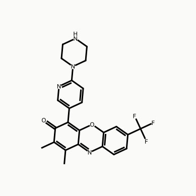 Cc1c2nc3ccc(C(F)(F)F)cc3oc-2c(-c2ccc(N3CCNCC3)nc2)c(=O)c1C